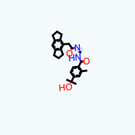 Cc1cc(C(C)(C)O)ccc1C(=O)N/C=N\C(=O)Cc1c2c(cc3c1CCC3)CCC2